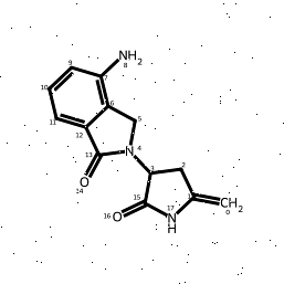 C=C1CC(N2Cc3c(N)cccc3C2=O)C(=O)N1